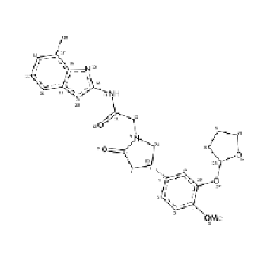 COc1ccc([C@@H]2CC(=O)N(CC(=O)Nc3nc4c(C)cccc4s3)C2)cc1OC1CCCO1